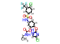 CCNC(=O)Oc1cc(NS(=O)(=O)c2ccc(Cl)c(C(F)(F)F)c2)ccc1Oc1nc(Cl)c[nH]1